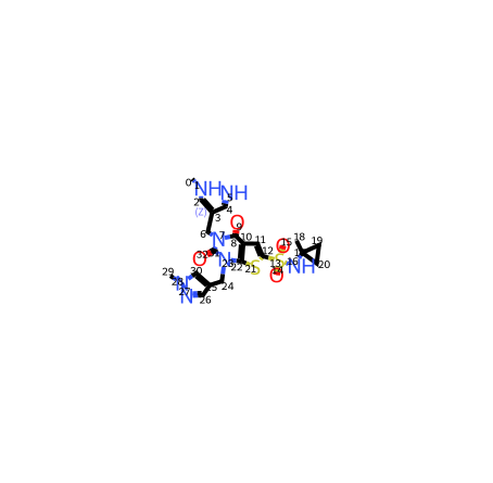 CN/C=C(\C=N)Cn1c(=O)c2cc(S(=O)(=O)NC3(C)CC3)sc2n(Cc2cnn(C)c2)c1=O